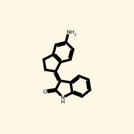 Nc1ccc2c(c1)CC/C2=C1\C(=O)Nc2ccccc21